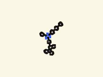 c1ccc(-c2ccc(-c3ccc(-c4nc(-c5ccccc5)nc(-c5ccc(-c6cc7c8ccccc8c8ccccc8c7c7ccccc67)cc5)n4)cc3)cc2)cc1